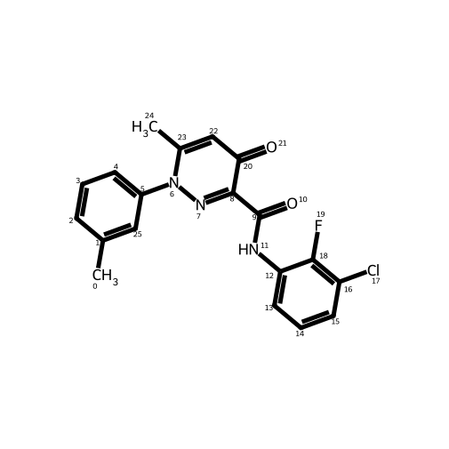 Cc1cccc(-n2nc(C(=O)Nc3cccc(Cl)c3F)c(=O)cc2C)c1